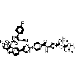 CCc1nc2ccc(-c3cnc(N4CCN(C(=O)NC5CN(C(=O)OC(C)(C)C)C5)CC4)nc3)cn2c1N(C)c1nc(-c2ccc(F)cc2)c(C#N)s1